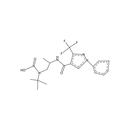 CC(CN(C(=O)O)C(C)(C)C)NC(=O)c1cn(-c2ccccc2)nc1C(F)(F)F